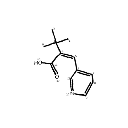 CC(C)(C)/C(=C/c1cccnc1)C(=O)O